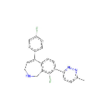 Cc1ccc(-c2ccc3c(c2F)CNCC=C3c2ccc(F)cc2)nn1